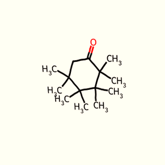 CC1(C)CC(=O)C(C)(C)C(C)(C)C1(C)C